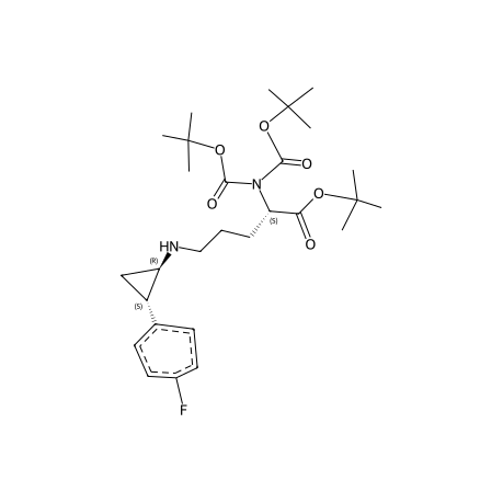 CC(C)(C)OC(=O)[C@H](CCCN[C@@H]1C[C@H]1c1ccc(F)cc1)N(C(=O)OC(C)(C)C)C(=O)OC(C)(C)C